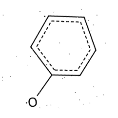 [O]c1c[c]ccc1